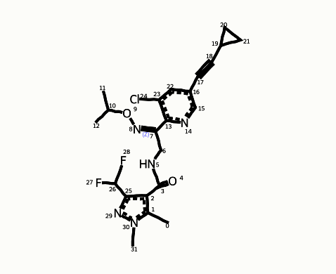 Cc1c(C(=O)NC/C(=N/OC(C)C)c2ncc(C#CC3CC3)cc2Cl)c(C(F)F)nn1C